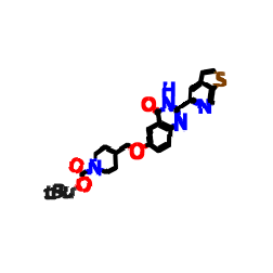 CC(C)(C)OC(=O)N1CCC(COc2ccc3nc(-c4cc5ccsc5cn4)[nH]c(=O)c3c2)CC1